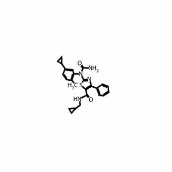 Cc1ccc(C2CC2)cc1N(C(N)=O)c1nc(-c2ccccc2)c(C(=O)NCC2CC2)s1